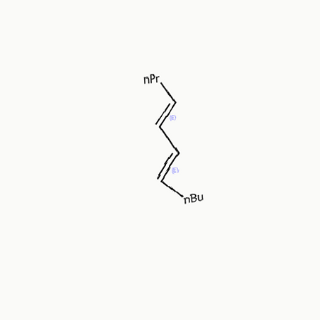 [CH2]CC/C=C/C=C/CCCC